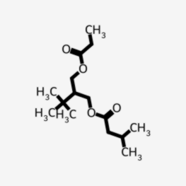 CCC(=O)OCC(COC(=O)CC(C)C)C(C)(C)C